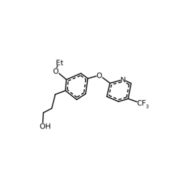 CCOc1cc(Oc2ccc(C(F)(F)F)cn2)ccc1CCCO